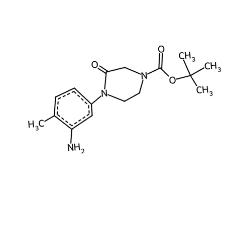 Cc1ccc(N2CCN(C(=O)OC(C)(C)C)CC2=O)cc1N